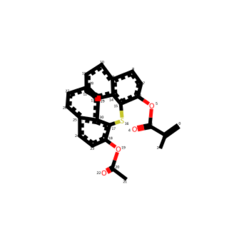 C=C(C)C(=O)Oc1ccc2ccccc2c1Sc1c(OC(C)=O)ccc2ccccc12